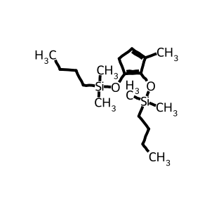 CCCC[Si](C)(C)OC1=C(O[Si](C)(C)CCCC)C(C)=CC1